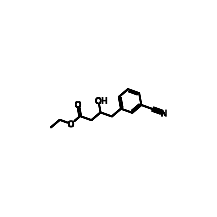 CCOC(=O)CC(O)Cc1cccc(C#N)c1